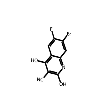 N#Cc1c(O)nc2cc(Br)c(F)cc2c1O